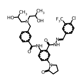 CC(O)CN(Cc1cccc(C(=O)Nc2ccc(N3CCCC3=O)cc2C(=O)NN=Cc2ccc(Cl)c(C(F)(F)F)c2)c1)CC(C)O